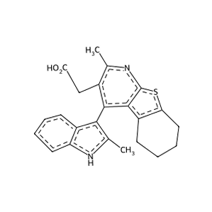 Cc1nc2sc3c(c2c(-c2c(C)[nH]c4ccccc24)c1CC(=O)O)CCCC3